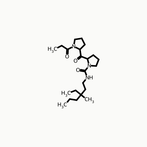 CCCC(C)(CC)CCNC(=O)N1CCCC1C(=O)C1CCCN1C(=O)CC